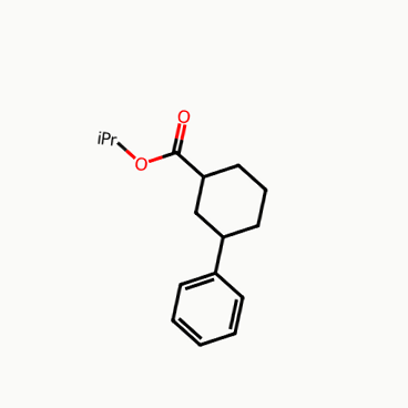 CC(C)OC(=O)C1CCCC(c2ccccc2)C1